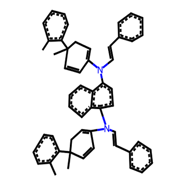 Cc1ccccc1C1(C)C=CC(N(C=Cc2ccccc2)c2ccc(N(C=Cc3ccccc3)C3=CCC(C)(c4ccccc4C)C=C3)c3ccccc23)=CC1